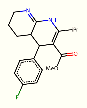 COC(=O)C1=C(C(C)C)NC2=NCCCC2C1c1ccc(F)cc1